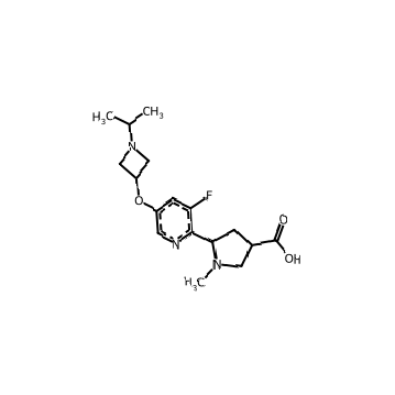 CC(C)N1CC(Oc2cnc(C3CC(C(=O)O)CN3C)c(F)c2)C1